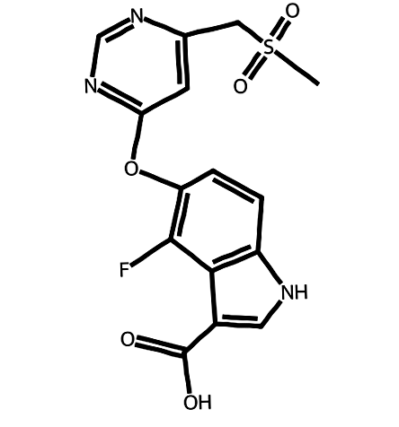 CS(=O)(=O)Cc1cc(Oc2ccc3[nH]cc(C(=O)O)c3c2F)ncn1